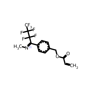 C=CC(=O)OCc1ccc(/C(=N/C)C(F)(F)C(F)(F)C(F)(F)F)cc1